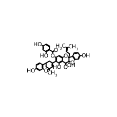 CC(C)=CCC12Oc3cc(OC(=O)c4ccc(O)cc4O)c(C4=CC5(C)CC(C4)c4ccc(O)cc4O5)c(O)c3C(=O)C1(O)Oc1cc(O)ccc12